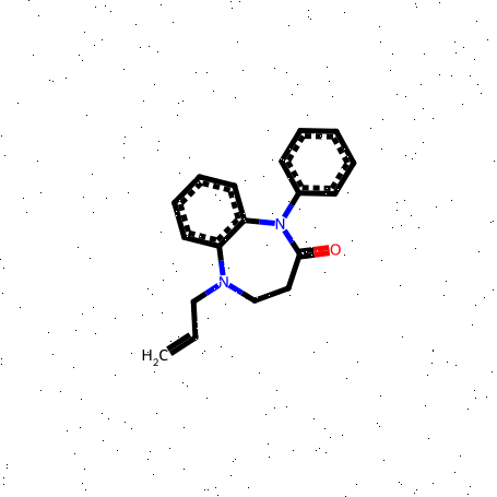 C=CCN1CCC(=O)N(c2ccccc2)c2ccccc21